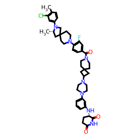 Cc1ccc(N2CC3(CCN(c4ccc(C(=O)N5CCC6(CC5)CC(N5CCN(c7cccc(N[C@H]8CCC(=O)NC8=O)c7)CC5)C6)cc4F)CC3)C[C@@H]2C)cc1Cl